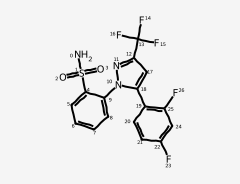 NS(=O)(=O)c1ccccc1-n1nc(C(F)(F)F)cc1-c1ccc(F)cc1F